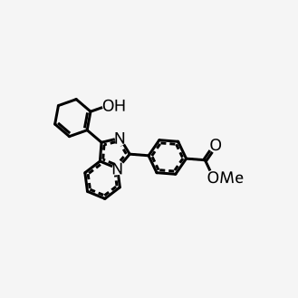 COC(=O)c1ccc(-c2nc(C3=C(O)CCC=C3)c3ccccn23)cc1